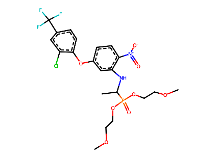 COCCOP(=O)(OCCOC)C(C)Nc1cc(Oc2ccc(C(F)(F)F)cc2Cl)ccc1[N+](=O)[O-]